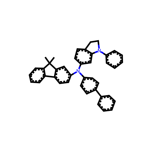 CC1(C)c2ccccc2-c2ccc(N(c3ccc(-c4ccccc4)cc3)c3ccc4c(c3)N(c3ccccc3)CC4)cc21